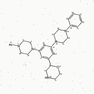 CC(=O)N1CCN(c2cc(C3CNCCO3)nc(N3CCN(c4ccccc4)CC3)n2)CC1